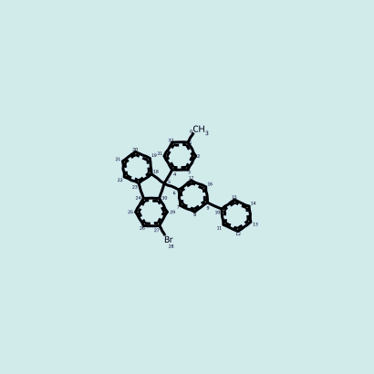 Cc1ccc(C2(c3ccc(-c4ccccc4)cc3)c3ccccc3-c3ccc(Br)cc32)cc1